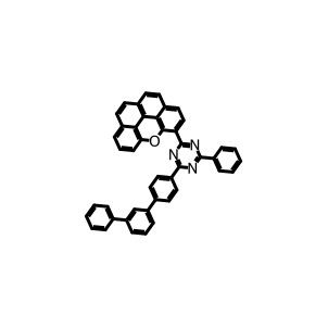 c1ccc(-c2cccc(-c3ccc(-c4nc(-c5ccccc5)nc(-c5ccc6ccc7ccc8cccc9c8c7c6c5O9)n4)cc3)c2)cc1